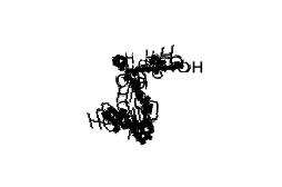 CC[C@@]1(O)C(=O)OCc2c1cc1n(c2=O)Cc2c-1nc1cc(C)c(C)c3c1c2[C@@H](NC(=O)C(C)OCNC(=O)CNC(=O)[C@H](Cc1ccccc1)NC(=O)CNC(=O)CNC(=O)C(CNCC(=O)O)N1C(=O)C=CC1=O)CC3